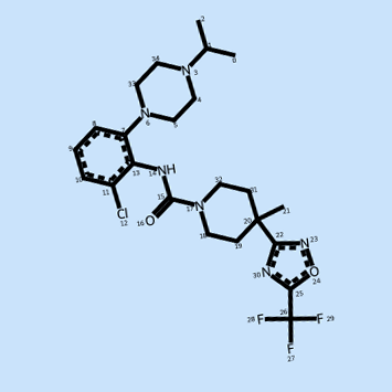 CC(C)N1CCN(c2cccc(Cl)c2NC(=O)N2CCC(C)(c3noc(C(F)(F)F)n3)CC2)CC1